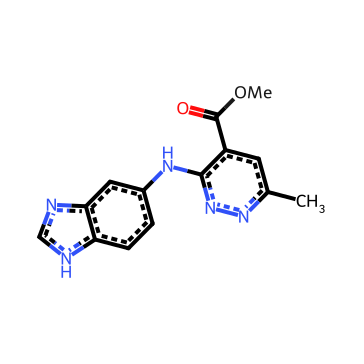 COC(=O)c1cc(C)nnc1Nc1ccc2[nH]cnc2c1